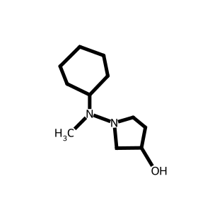 CN(C1CCCCC1)N1CCC(O)C1